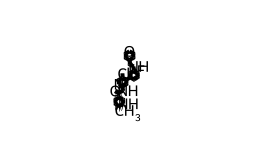 C[C@@H]1CC[C@@H](C(=O)Nc2cc(-c3ccc(F)c(NCC4CCOCC4)c3)c(Cl)cn2)CN1